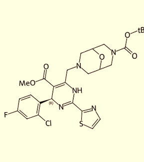 COC(=O)C1=C(CN2CC3CN(C(=O)OC(C)(C)C)CC(C2)O3)NC(c2nccs2)=N[C@H]1c1ccc(F)cc1Cl